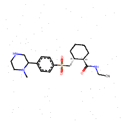 CN1CCNCC1c1ccc(S(=O)(=O)C[C@@H]2CCCC[C@H]2C(=O)NCC#N)cc1